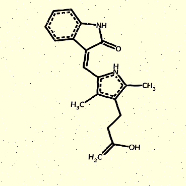 C=C(O)CCc1c(C)[nH]c(/C=C2\C(=O)Nc3ccccc32)c1C